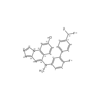 CN(c1ccc(F)c(-c2ccc(C(F)F)cc2)c1)c1nc2nncn2c2cc(Cl)ccc12